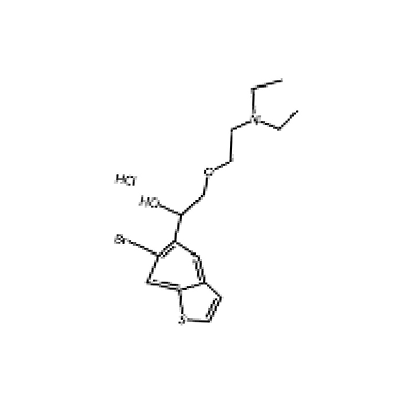 CCN(CC)CCOCC(O)c1cc2ccsc2cc1Br.Cl